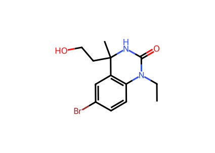 CCN1C(=O)NC(C)(CCO)c2cc(Br)ccc21